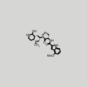 C=NC[C@H](C[C@@H]1CCCNC1O)NC(=O)[C@H](CC(C)C)NC(=O)c1cc2c(OC)cccc2[nH]1